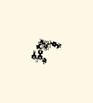 Cc1ncsc1-c1ccc([C@H](C)NC(=O)[C@@H]2C[C@@H](O)CN2C(=O)[C@@H](NC(=O)C2CC[C@H]2C(=O)N2CCC(c3cc(Nc4cc(C#N)ccn4)nc(N4CCC(F)(F)C4)c3)CC2)C(C)(C)C)cc1